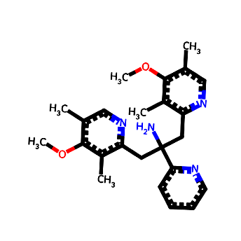 COc1c(C)cnc(CC(N)(Cc2ncc(C)c(OC)c2C)c2ccccn2)c1C